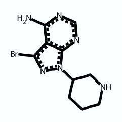 Nc1ncnc2c1c(Br)nn2C1CCCNC1